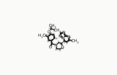 Cc1cc([C@@H]2CN(C(=O)c3ccc(OC(C)C)c(C)c3)CCO2)n2ncnc2n1